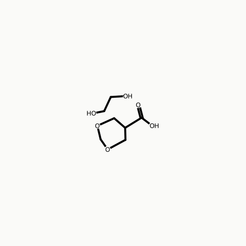 O=C(O)C1COCOC1.OCCO